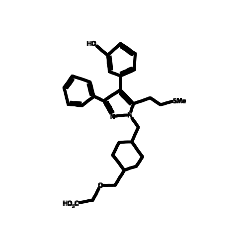 CSCCc1c(-c2cccc(O)c2)c(-c2ccccc2)nn1CC1CCC(COCC(=O)O)CC1